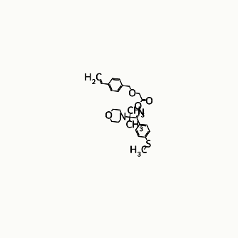 C=Cc1ccc(COCC(=O)O/N=C(/c2ccc(SC)cc2)C(C)(C)N2CCOCC2)cc1